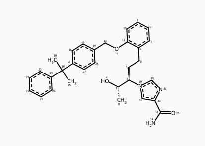 C[C@H](O)[C@@H](CCc1ccccc1OCc1ccc(C(C)(C)c2ccccc2)cc1)n1cnc(C(N)=O)c1